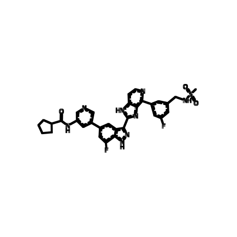 CS(=O)(=O)NCc1cc(F)cc(-c2nccc3[nH]c(-c4n[nH]c5c(F)cc(-c6cncc(NC(=O)C7CCCC7)c6)cc45)nc23)c1